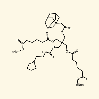 CCCCCCCCCOC(=O)CCCCC(=O)OCC(COC(=O)CCCCC(=O)OCCCCCCCCC)(COC(=O)CC12CC3CC(CC(C3)C1)C2)COC(=O)NCCN1CCCC1